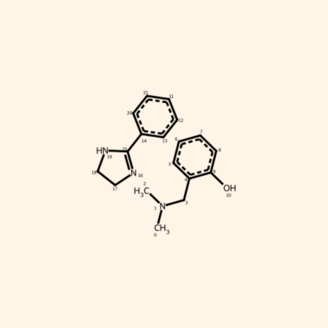 CN(C)Cc1ccccc1O.c1ccc(C2=NCCN2)cc1